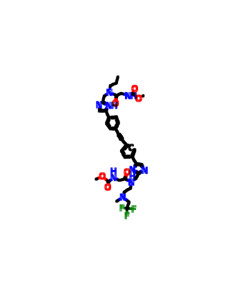 CCCN(Cc1ncc(-c2ccc(C#Cc3ccc(-c4cnc(CN(CCN(C)CC(F)(F)F)C(=O)CNC(=O)OC)[nH]4)cc3)cc2)[nH]1)C(=O)CNC(=O)OC